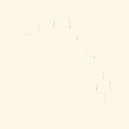 CC(Oc1ccc(N=C=O)cc1)C(=O)OCCOC(=O)COc1ccc(N=C=O)cc1